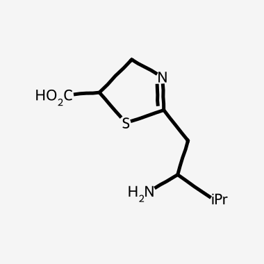 CC(C)C(N)CC1=NCC(C(=O)O)S1